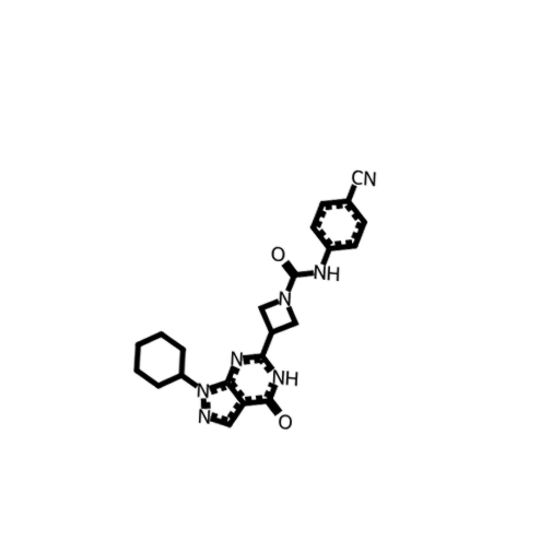 N#Cc1ccc(NC(=O)N2CC(c3nc4c(cnn4C4CCCCC4)c(=O)[nH]3)C2)cc1